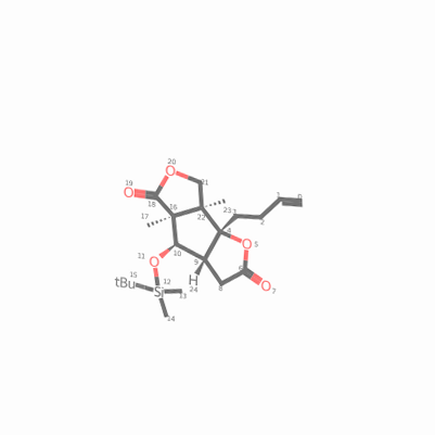 C=CCC[C@@]12OC(=O)C[C@@H]1[C@@H](O[Si](C)(C)C(C)(C)C)[C@@]1(C)C(=O)OC[C@@]21C